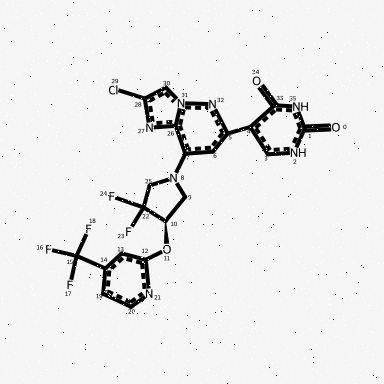 O=c1[nH]cc(-c2cc(N3C[C@@H](Oc4cc(C(F)(F)F)ccn4)C(F)(F)C3)c3nc(Cl)cn3n2)c(=O)[nH]1